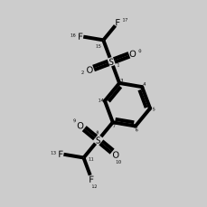 O=S(=O)(c1c[c]cc(S(=O)(=O)C(F)F)c1)C(F)F